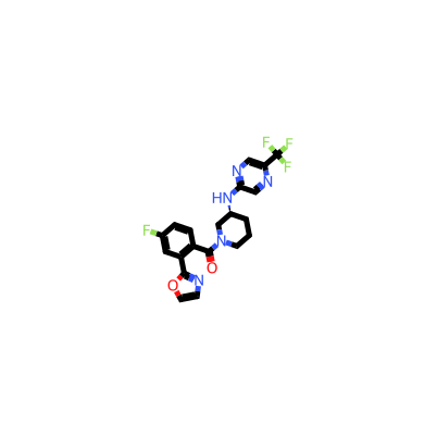 O=C(c1ccc(F)cc1-c1ncco1)N1CCC[C@@H](Nc2cnc(C(F)(F)F)cn2)C1